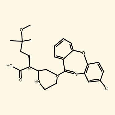 COC(C)(C)CC[C@H](C(=O)O)C1CN(C2=Nc3cc(Cl)ccc3Oc3ccccc32)CCN1